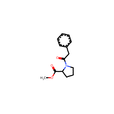 COC(=O)C1CCCN1C(=O)Cc1ccccc1